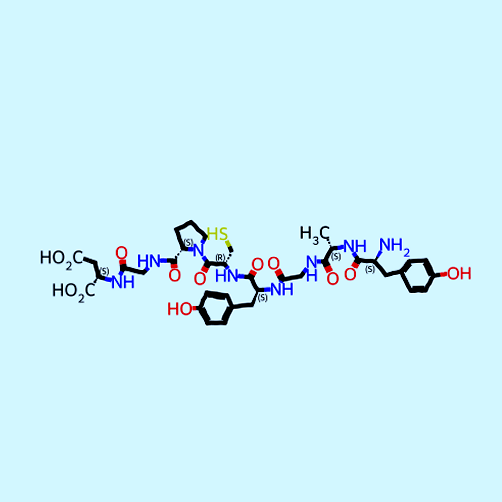 C[C@H](NC(=O)[C@@H](N)Cc1ccc(O)cc1)C(=O)NCC(=O)N[C@@H](Cc1ccc(O)cc1)C(=O)N[C@@H](CS)C(=O)N1CCC[C@H]1C(=O)NCC(=O)N[C@@H](CC(=O)O)C(=O)O